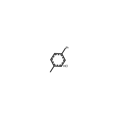 Cc1ccc(C(C)C)cc1.Cl